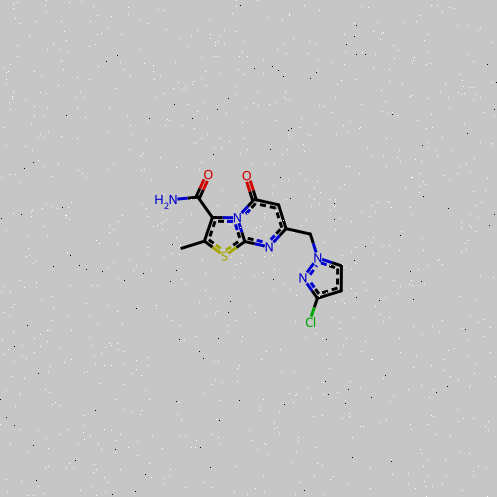 Cc1sc2nc(Cn3ccc(Cl)n3)cc(=O)n2c1C(N)=O